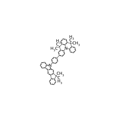 CC1(C)c2ccccc2-c2cc3c4ccccc4n(-c4ccc(-c5ccc6c(c5)C(C)(C)c5cccc7c5N6c5ccccc5C7(C)C)cc4)c3cc21